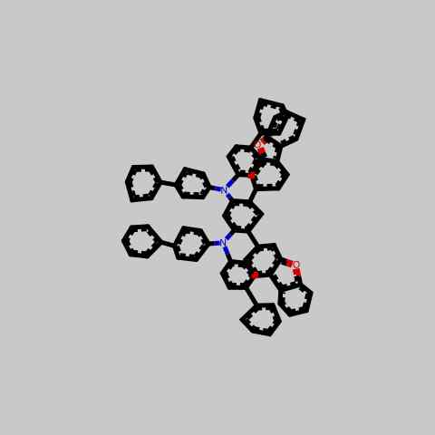 c1ccc(-c2ccc(N(c3ccc(-c4ccccc4)cc3)c3cc(N(c4ccc(-c5ccccc5)cc4)c4ccc(-c5ccccc5)cc4)c(-c4ccc5c(c4)oc4ccccc45)cc3-c3ccc4c(c3)oc3ccccc34)cc2)cc1